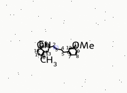 CCC(/C=C/CCc1cccc(OC)c1)CC1=C(C)CCC1O